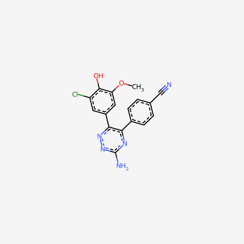 COc1cc(-c2nnc(N)nc2-c2ccc(C#N)cc2)cc(Cl)c1O